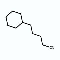 N#CCCCCC1CCCCC1